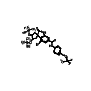 CC(C)(C)[Si](C)(C)OC1CC2(CC1O[Si](C)(C)C(C)(C)C)C(=O)Nc1cc(C(=O)Nc3ccc(OC(F)(F)Cl)cc3)cc(Br)c12